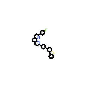 Fc1ccc(-c2ccc3ccc4ccc(-c5ccc(-c6ccc7sc8ccccc8c7c6)cc5)nc4c3n2)cc1